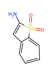 NC1=Cc2ccccc2S1(=O)=O